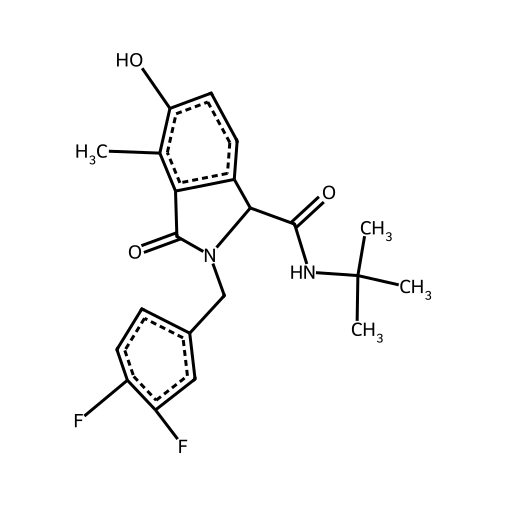 Cc1c(O)ccc2c1C(=O)N(Cc1ccc(F)c(F)c1)C2C(=O)NC(C)(C)C